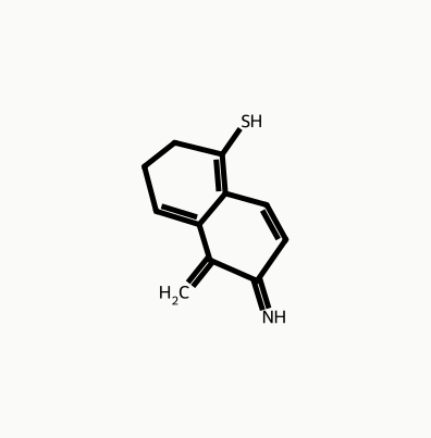 C=C1C(=N)C=CC2=C(S)CCC=C12